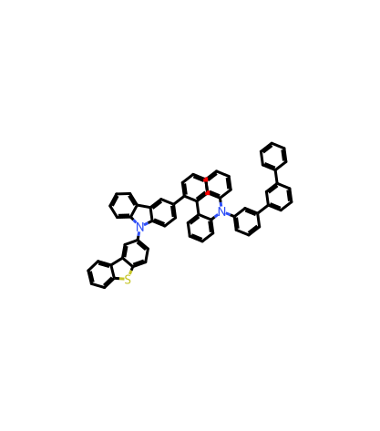 c1ccc(-c2cccc(-c3cccc(N(c4ccccc4)c4ccccc4-c4ccccc4-c4ccc5c(c4)c4ccccc4n5-c4ccc5sc6ccccc6c5c4)c3)c2)cc1